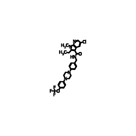 CCc1c(C(=O)NCc2ccc(N3CCN(c4ccc(OC(F)(F)F)cc4)CC3)cc2)c2cc(Cl)cnc2n1C